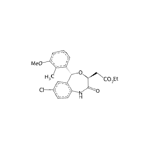 CCOC(=O)C[C@@H]1O[C@@H](c2cccc(OC)c2C)c2cc(Cl)ccc2NC1=O